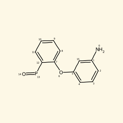 Nc1cccc(Oc2ccccc2P=O)c1